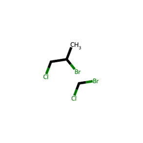 CC(Br)CCl.ClCBr